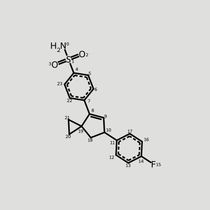 NS(=O)(=O)c1ccc(C2=CC(c3ccc(F)cc3)CC23CC3)cc1